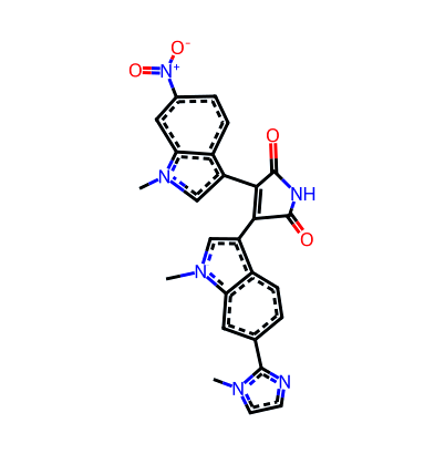 Cn1ccnc1-c1ccc2c(C3=C(c4cn(C)c5cc([N+](=O)[O-])ccc45)C(=O)NC3=O)cn(C)c2c1